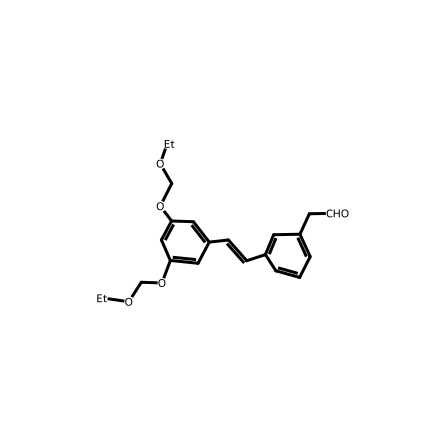 CCOCOc1cc(C=Cc2cccc(CC=O)c2)cc(OCOCC)c1